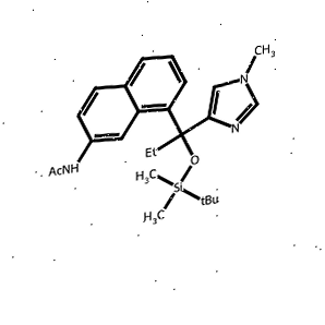 CCC(O[Si](C)(C)C(C)(C)C)(c1cn(C)cn1)c1cccc2ccc(NC(C)=O)cc12